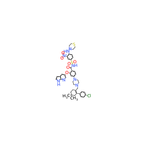 CC1(C)CCC(CN2CCN(c3ccc(C(=O)NS(=O)(=O)c4ccc(NN5CCSCC5)c([N+](=O)[O-])c4)c(Oc4cnc5[nH]ccc5c4)c3)CC2)=C(c2ccc(Cl)cc2)C1